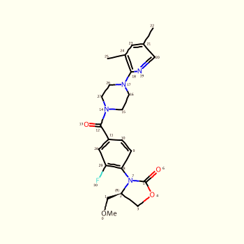 COC[C@@H]1COC(=O)N1c1ccc(C(=O)N2CCN(c3ncc(C)cc3C)CC2)cc1F